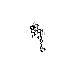 FC(F)c1nc2ccccc2n1C1N=C(Nc2ccnc(OCCCN3CCOCC3)c2)N=CN1N1CCOCC1